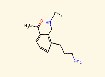 CNCc1c(CCCN)cccc1C(C)=O